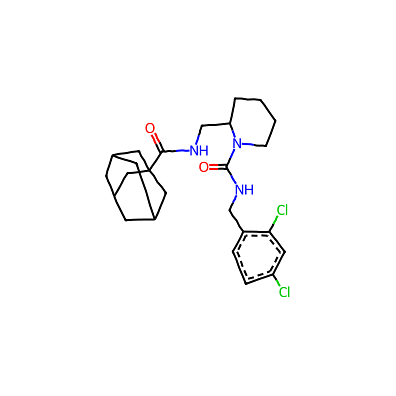 O=C(NCc1ccc(Cl)cc1Cl)N1CCCCC1CNC(=O)C12CC3CC(CC(C3)C1)C2